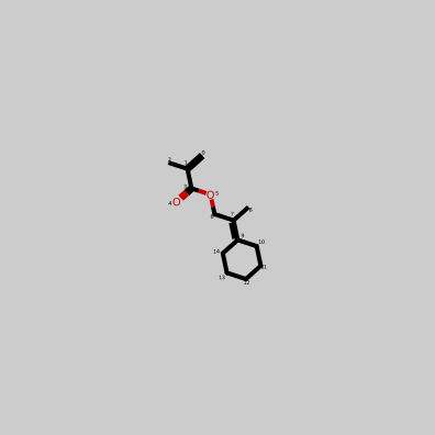 C=C(C)C(=O)OCC(C)=C1CCCCC1